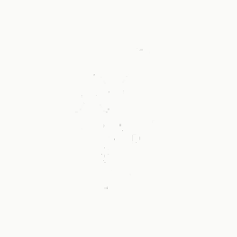 CCCCCc1ccc(-c2cccc3c2C=C(CC)[CH]3[Zr+2][O][SiH](C)C)cc1.[Cl-].[Cl-]